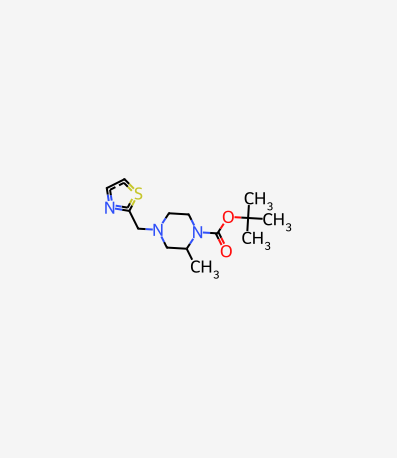 CC1CN(Cc2nccs2)CCN1C(=O)OC(C)(C)C